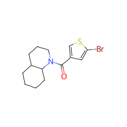 O=C(c1csc(Br)c1)N1CCCC2CCCCC21